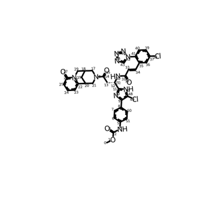 COC(=O)Nc1ccc(-c2nc([C@H](CC(=O)N3CC4CC(C3)c3cccc(=O)n3C4)NC(=O)C=Cc3cc(Cl)ccc3-n3cnnn3)[nH]c2Cl)cc1